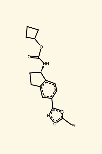 CCc1nc(-c2ccc3c(c2)CC[C@H]3NC(=O)OC2CCC2)no1